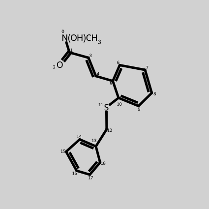 CN(O)C(=O)C=Cc1ccccc1SCc1ccccc1